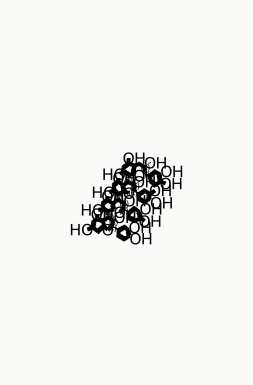 Oc1cc(O)c2c(c1)O[C@H](c1ccc(O)c(O)c1)[C@@H](O)[C@H]2c1c(O)cc(O)c2c1O[C@H](c1ccc(O)c(O)c1)[C@@H](O)[C@H]2c1c(O)cc(O)c2c1O[C@H](c1ccc(O)c(O)c1)[C@@H](O)[C@H]2c1c(O)cc(O)c2c1O[C@H](c1ccc(O)c(O)c1)[C@@H](O)C2